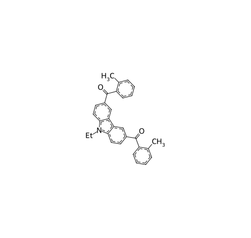 CCn1c2ccc(C(=O)c3ccccc3C)cc2c2cc(C(=O)c3ccccc3C)ccc21